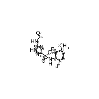 Cc1ccc(F)c(NS(=O)(=O)c2n[nH]c(NC=O)n2)c1F